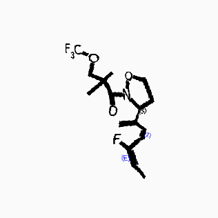 C=C(/C=C\C(F)=C/C)[C@@H]1CCON1C(=O)C(C)(C)COC(F)(F)F